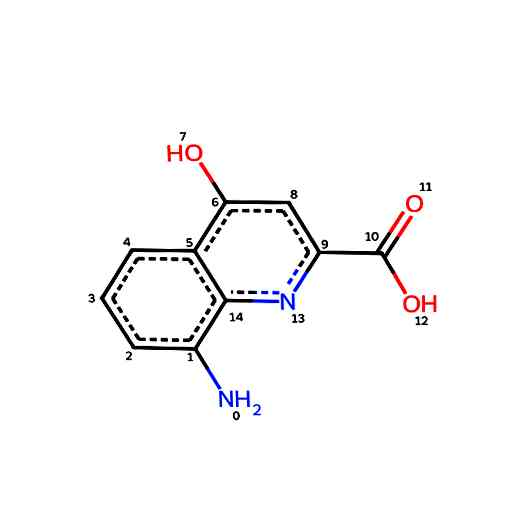 Nc1cccc2c(O)cc(C(=O)O)nc12